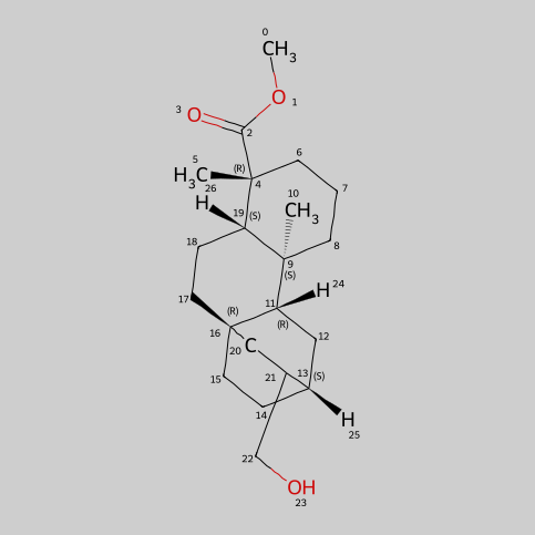 COC(=O)[C@]1(C)CCC[C@@]2(C)[C@@H]3C[C@@H]4CC[C@@]3(CC[C@@H]21)CC4CO